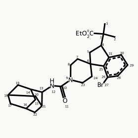 CCOC(=O)C(C)(C)C1CC2(CCN(C(=O)NC3C4CC5CC(C4)CC3C5)CC2)c2c(Br)cccc21